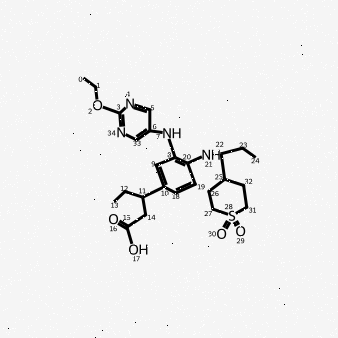 CCOc1ncc(Nc2cc(C(CC)CC(=O)O)ccc2NC(CC)C2CCS(=O)(=O)CC2)cn1